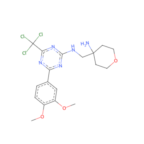 COc1ccc(-c2nc(NCC3(N)CCOCC3)nc(C(Cl)(Cl)Cl)n2)cc1OC